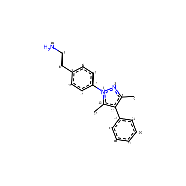 Cc1nn(-c2ccc(CCN)cc2)c(C)c1-c1ccccc1